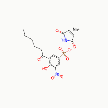 CCCCCC(=O)c1cc(S(=O)(=O)[O-])cc([N+](=O)[O-])c1O.O=C1C=CC(=O)N1.[Na+]